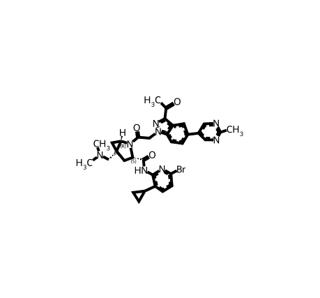 CC(=O)c1nn(CC(=O)N2[C@H](C(=O)Nc3nc(Br)ccc3C3CC3)C[C@@]3(CN(C)C)C[C@@H]23)c2ccc(-c3cnc(C)nc3)cc12